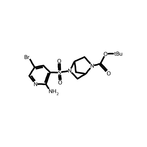 CC(C)(C)OC(=O)N1CC2CC1CN2S(=O)(=O)c1cc(Br)cnc1N